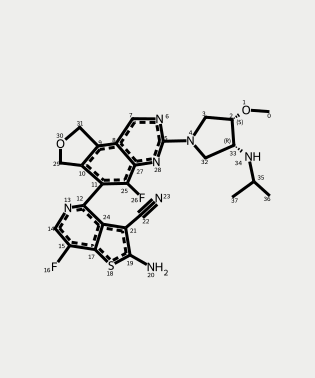 CO[C@H]1CN(c2ncc3c4c(c(-c5ncc(F)c6sc(N)c(C#N)c56)c(F)c3n2)COC4)C[C@H]1NC(C)C